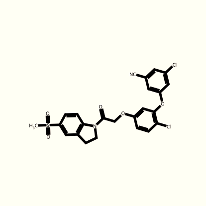 CS(=O)(=O)c1ccc2c(c1)CCN2C(=O)COc1ccc(Cl)c(Oc2cc(Cl)cc(C#N)c2)c1